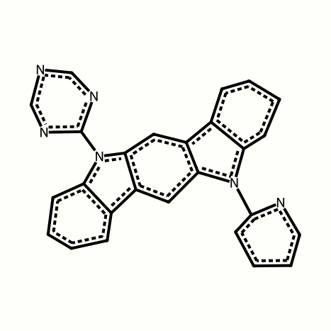 c1ccc(-n2c3ccccc3c3cc4c(cc32)c2ccccc2n4-c2ncncn2)nc1